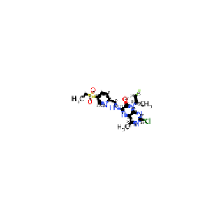 CCS(=O)(=O)c1ccc(CNc2nc3c(C)nc(Cl)nc3n([C@@H](C)CF)c2=O)nc1